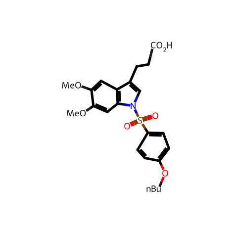 CCCCOc1ccc(S(=O)(=O)n2cc(CCC(=O)O)c3cc(OC)c(OC)cc32)cc1